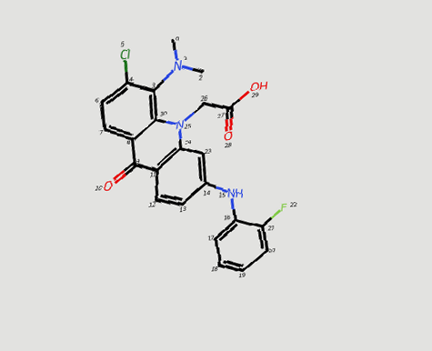 CN(C)c1c(Cl)ccc2c(=O)c3ccc(Nc4ccccc4F)cc3n(CC(=O)O)c12